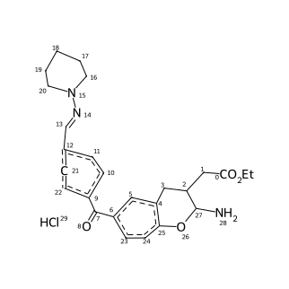 CCOC(=O)CC1Cc2cc(C(=O)c3ccc(C=NN4CCCCC4)cc3)ccc2OC1N.Cl